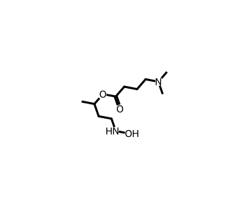 CC(CCNO)OC(=O)CCCN(C)C